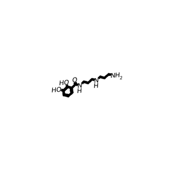 NCCCNCCCNC(=O)c1cccc(O)c1O